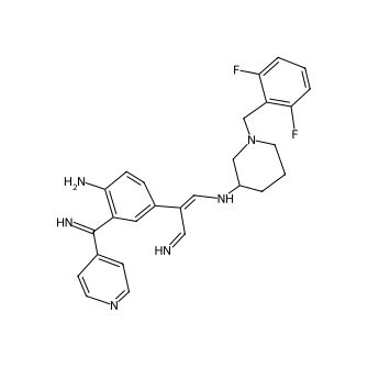 N=C/C(=C\NC1CCCN(Cc2c(F)cccc2F)C1)c1ccc(N)c(C(=N)c2ccncc2)c1